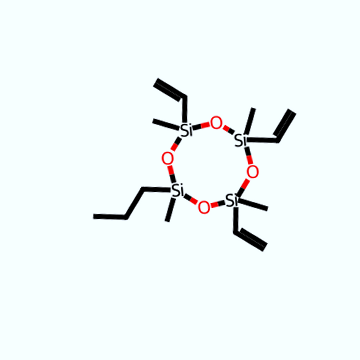 C=C[Si]1(C)O[Si](C)(C=C)O[Si](C)(CCC)O[Si](C)(C=C)O1